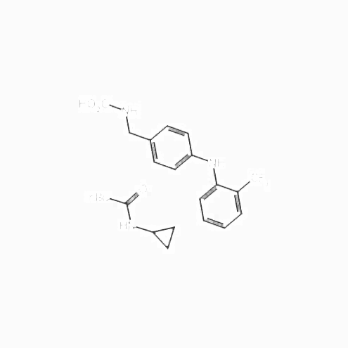 CCCCC(=O)NC1CC1.O=C(O)NCc1ccc(Nc2ccccc2C(F)(F)F)cc1